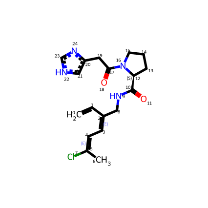 C=C/C(=C\C=C(/C)Cl)CNC(=O)[C@@H]1CCCN1C(=O)Cc1c[nH]cn1